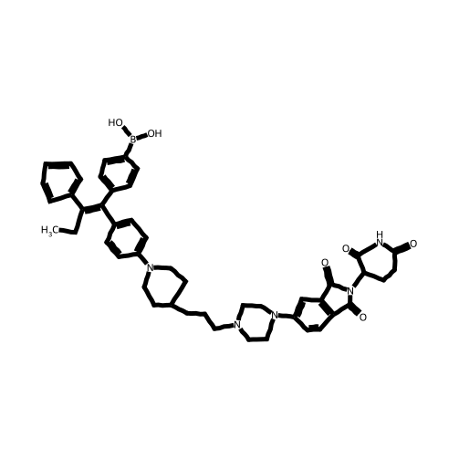 CC/C(=C(/c1ccc(B(O)O)cc1)c1ccc(N2CCC(CCCN3CCN(c4ccc5c(c4)C(=O)N(C4CCC(=O)NC4=O)C5=O)CC3)CC2)cc1)c1ccccc1